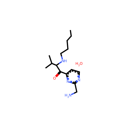 CCCCCNC(C(=O)c1ccnc(CN)n1)C(C)C.O